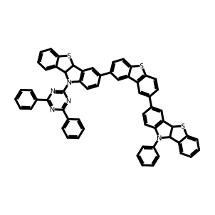 c1ccc(-c2nc(-c3ccccc3)nc(N3c4ccc(-c5ccc6sc7ccc(-c8ccc9c(c8)C8Sc%10ccccc%10C8N9c8ccccc8)cc7c6c5)cc4C4Sc5ccccc5C43)n2)cc1